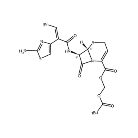 CC(C)C=C(C(=O)N[C@@H]1C(=O)N2C(C(=O)OCOC(=O)C(C)(C)C)=CCS[C@@H]12)c1csc(N)n1